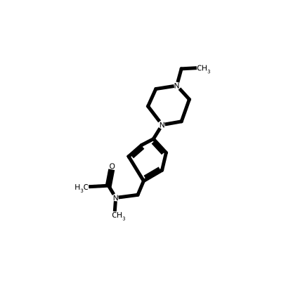 CCN1CCN(c2ccc(CN(C)C(C)=O)cc2)CC1